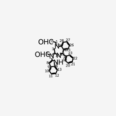 O=CCN1CC(N(C=O)c2cc3ccccc3[nH]2)N=C(c2ccccc2)c2ccccc21